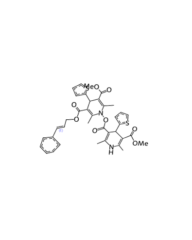 COC(=O)C1=C(C)NC(C)=C(C(=O)ON2C(C)=C(C(=O)OC)C(c3cccs3)C(C(=O)OC/C=C/c3ccccc3)=C2C)C1c1cccs1